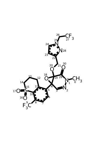 CN1N=CC2(c3ccc(C(F)(F)F)c4c3CCCS4(=O)=O)OC2(OCc2ccn(CC(F)(F)F)n2)C1=O